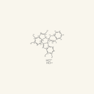 CC1=Cc2c(ccc(C)c2C)[CH]1[Zr](=[SiH2])([CH2]c1ccccc1)[CH]1C(C)=Cc2c1ccc(C)c2C.Cl.Cl